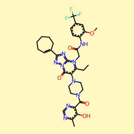 CCc1c(N2CCN(C(=O)c3ncnc(C)c3O)CC2)c(=O)n2nc(C3=CCCCCC3)nc2n1CC(=O)Nc1ccc(C(F)(F)F)cc1OC